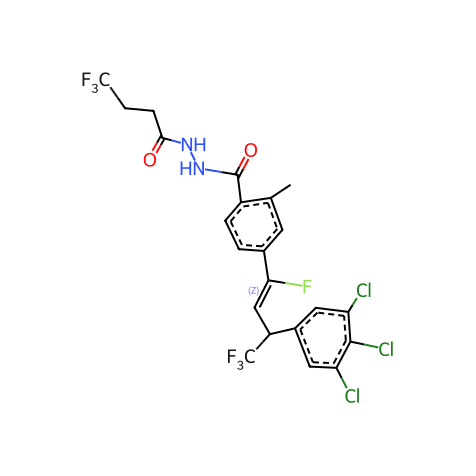 Cc1cc(/C(F)=C/C(c2cc(Cl)c(Cl)c(Cl)c2)C(F)(F)F)ccc1C(=O)NNC(=O)CCC(F)(F)F